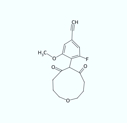 C#Cc1cc(F)c(C2C(=O)CCCOCCCC2=O)c(OC)c1